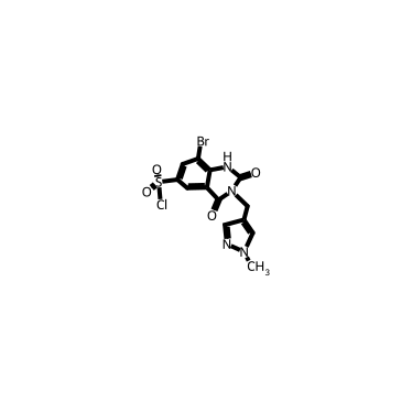 Cn1cc(Cn2c(=O)[nH]c3c(Br)cc(S(=O)(=O)Cl)cc3c2=O)cn1